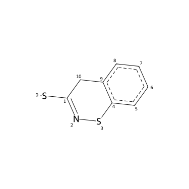 [S]C1=NSc2ccccc2C1